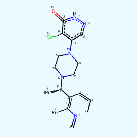 C=N/C(CC)=C(\C=C/C)[C@@H](C(C)C)N1CCN(c2cn[nH]c(=O)c2Cl)CC1